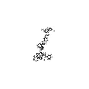 CC(C)(C)OC(=O)NCc1cccc(CNc2ncnc3c2ncn3C[C@@H](NC(=O)OCc2ccccc2)C(=O)OC(C)(C)C)c1